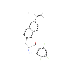 CC/C(C)=C(\C)c1ccc2c3c(ccc2c1)C[C@H](N)[C@@H](c1cc(F)c(F)cc1F)O3